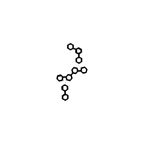 C1=CC2C3CC(C4CCC5C(C4)C4CCCCC4N5C4CCC(c5cccc(C6CCCCC6)c5)CC4)CCC3N(C3C=CC(C4=CCCCC4)CC3)C2CC1